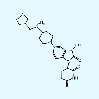 CN(C[C@H]1CCNC1)C1CCN(c2ccc3c(c2)n(C)c(=O)n3C2CCC(=O)NC2=O)CC1